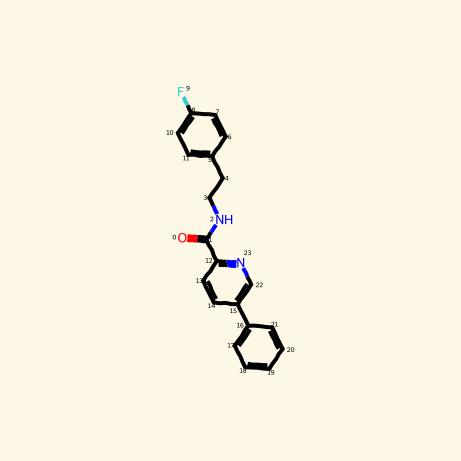 O=C(NCCc1ccc(F)cc1)c1ccc(-c2ccccc2)cn1